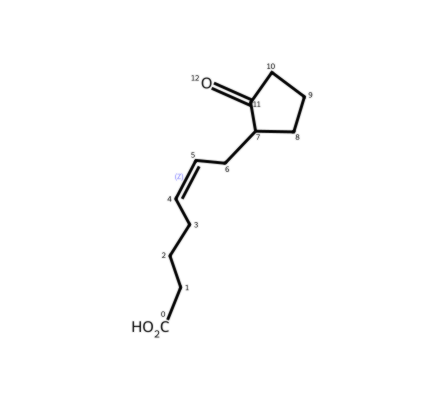 O=C(O)CCC/C=C\CC1CCCC1=O